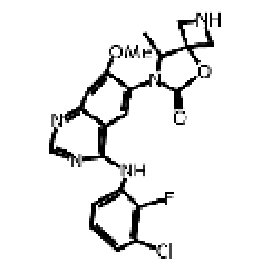 COc1cc2ncnc(Nc3cccc(Cl)c3F)c2cc1N1C(=O)OC2(CNC2)C1C